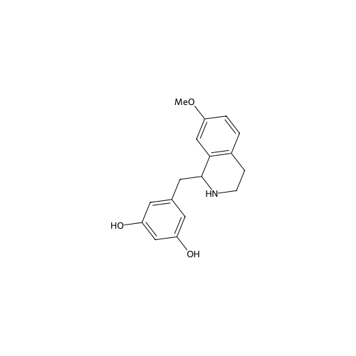 COc1ccc2c(c1)C(Cc1cc(O)cc(O)c1)NCC2